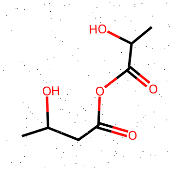 CC(O)CC(=O)OC(=O)C(C)O